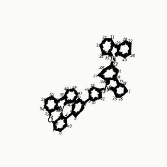 c1cc2c(c(-c3ccc(-c4ccc(-n5c6ccccc6c6cc(-n7c8ccccc8c8ccccc87)ccc65)cc4)cc3)c1)-n1c3ccccc3c3cccc(c31)O2